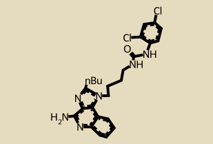 CCCCc1nc2c(N)nc3ccccc3c2n1CCCCNC(=O)Nc1ccc(Cl)cc1Cl